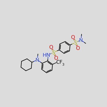 CN(c1cccc(C(F)(F)F)c1NS(=O)(=O)c1ccc(S(=O)(=O)N(C)C)cc1)C1CCCCC1